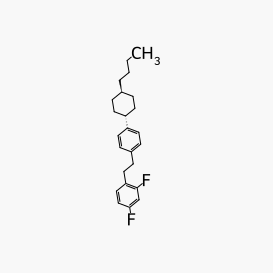 CCCC[C@H]1CC[C@H](c2ccc(CCc3ccc(F)cc3F)cc2)CC1